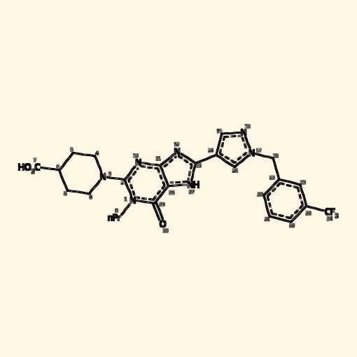 CCCn1c(N2CCC(C(=O)O)CC2)nc2nc(-c3cnn(Cc4cccc(C(F)(F)F)c4)c3)[nH]c2c1=O